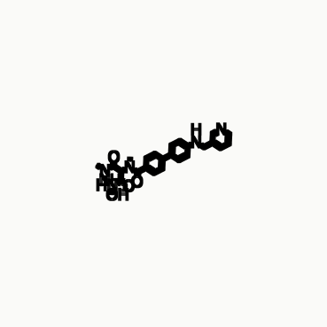 CN(N)C(=O)C(C(=O)NO)N(C)C(=O)c1ccc(-c2ccc(NCc3cccnc3)cc2)cc1